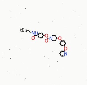 CC(C)(C)CCNC(=O)c1ccc(OC(=O)N2CCC(Oc3ccc(Oc4ccccn4)cc3)CC2)cc1